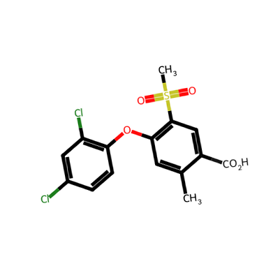 Cc1cc(Oc2ccc(Cl)cc2Cl)c(S(C)(=O)=O)cc1C(=O)O